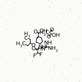 CCC(CC)O[C@@H]1C=C(C(=O)O)C[C@H](NC(=N)N)[C@H]1NC(=O)C(F)F.CS(=O)(=O)O